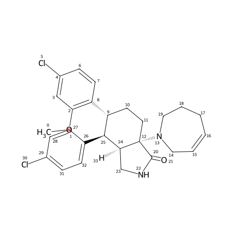 COc1cc(Cl)ccc1[C@@H]1CC[C@@]2(N3CC=CCCC3)C(=O)NC[C@H]2[C@H]1c1ccc(Cl)cc1